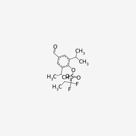 CCC(F)(F)S(=O)(=O)Oc1c(C(C)C)cc(C=O)cc1C(C)C